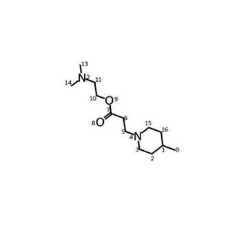 CC1CCN(CCC(=O)OCCN(C)C)CC1